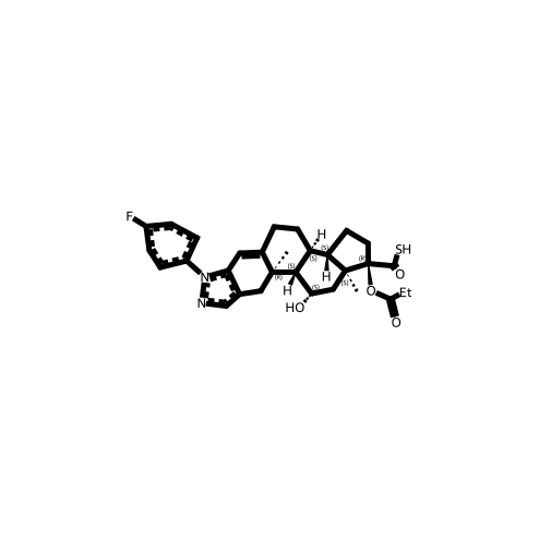 CCC(=O)O[C@]1(C(=O)S)CC[C@H]2[C@@H]3CCC4=Cc5c(cnn5-c5ccc(F)cc5)C[C@]4(C)[C@H]3[C@@H](O)C[C@@]21C